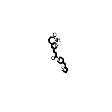 O=C1CCCc2cc(/C=C/C(=O)N3CCC(=Cc4cccs4)CC3)cnc2N1